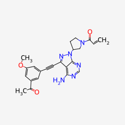 C=CC(=O)N1CCC(n2nc(C#Cc3cc(OC)cc(C(C)=O)c3)c3c(N)ncnc32)C1